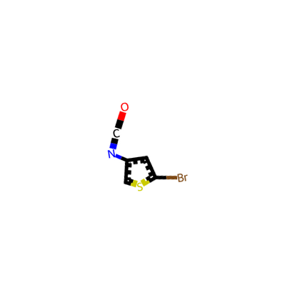 O=C=Nc1csc(Br)c1